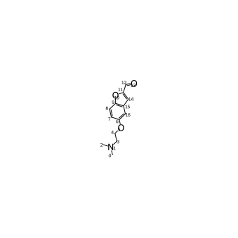 CN(C)CCOc1ccc2oc(C=O)cc2c1